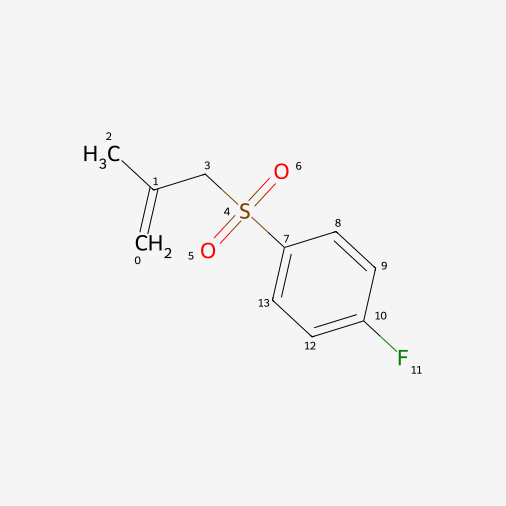 C=C(C)CS(=O)(=O)c1ccc(F)cc1